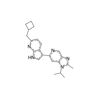 Cc1nc2cnc(-c3c[nH]c4nc(CC5CCC5)ccc34)cc2n1C(C)C